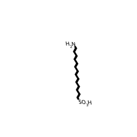 NCCCCCCCCCCCCCCS(=O)(=O)O